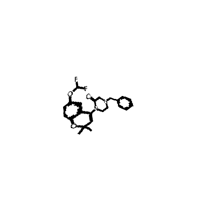 CC1(C)C=C(N2CCN(Cc3ccccc3)CC2=O)c2cc(OC(F)F)ccc2O1